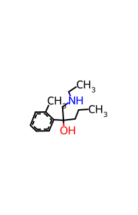 CCCC(O)(CNCC)c1ccccc1C